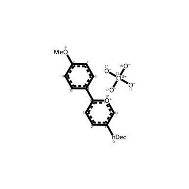 CCCCCCCCCCc1ccc(-c2ccc(OC)cc2)[o+]c1.[O-][Cl+3]([O-])([O-])[O-]